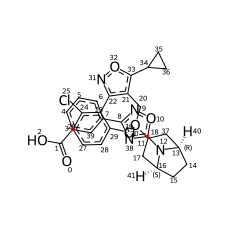 O=C(O)c1cccc(-c2noc(N3[C@@H]4CC[C@H]3CC(OCc3c(-c5c(Cl)cccc5Cl)noc3C3CC3)C4)n2)c1